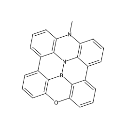 CN1c2cccc3c2N2B4c5c(cccc5-3)Oc3cccc(c34)-c3cccc1c32